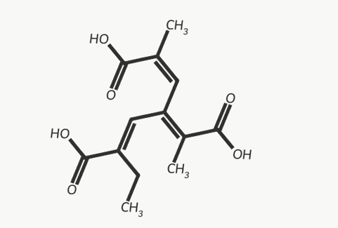 CCC(=CC(C=C(C)C(=O)O)=C(C)C(=O)O)C(=O)O